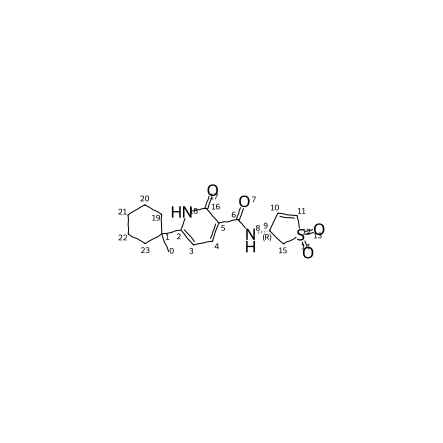 CC1(c2ccc(C(=O)N[C@@H]3C=CS(=O)(=O)C3)c(=O)[nH]2)CCCCC1